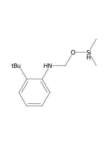 C[SiH](C)OCNc1ccccc1C(C)(C)C